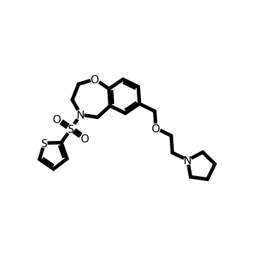 O=S(=O)(c1cccs1)N1CCOc2ccc(COCCN3CCCC3)cc2C1